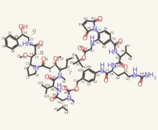 CC[C@H](C)[C@H]([C@@H](CC(=O)N1CCC[C@H]1[C@@H](OC)[C@@H](C)C(=O)N[C@@H](C)[C@H](O)c1ccccc1)OC)N(C)C(=O)[C@@H](NC(=O)[C@@H](C(C)C)N(C)C(=O)OCc1ccc(NC(=O)[C@H](CCCNC(N)=O)NC(=O)C(NC(=O)c2ccc(N3C(=O)C=CC3=O)c(NCC(=O)OC(C)(C)C)c2)C(C)C)cc1)C(C)C